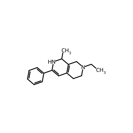 CCN1CCC2=C(C1)C(C)NC(c1ccccc1)=C2